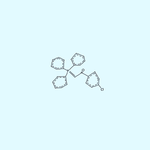 O=C(C=P(c1ccccc1)(c1ccccc1)c1ccccc1)c1ccc(Cl)cc1